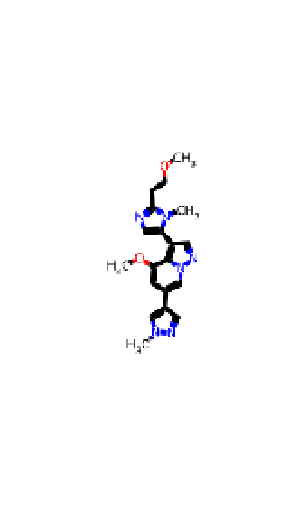 COCCc1ncc(-c2cnn3cc(-c4cnn(C)c4)cc(OC)c23)n1C